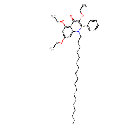 CCCCCCCCCCCCCCCCCCn1c(-c2ccccc2)c(OCC)c(=O)c2c(OCC)cc(OCC)cc21